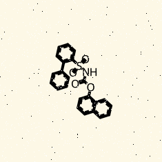 O=C(NS(=O)(=O)c1ccccc1-c1ccccc1)Oc1cccc2ccccc12